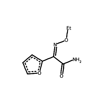 CCON=C(C(N)=O)c1ccco1